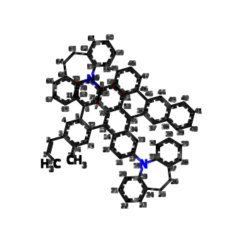 C/C=C\c1cc(-c2ccccc2)c(-c2c3ccc(N4c5ccccc5CCc5ccccc54)cc3c(-c3cc4ccccc4cc3-c3ccccc3)c3ccc(N4c5ccccc5CCc5ccccc54)cc23)cc1C